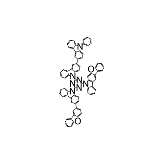 c1ccc(-n2c3ccccc3c3cc(-c4ccc5c(c4)c4ccccc4n5-c4nc(-n5c6ccccc6c6cc(-c7ccc8oc9ccccc9c8c7)ccc65)nc(-n5c6ccccc6c6cc7c(cc65)oc5ccccc57)n4)ccc32)cc1